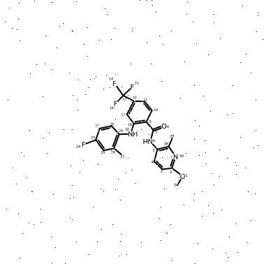 COc1ccc(NC(=O)c2ccc(C(F)(F)F)cc2Nc2ccc(F)cc2C)c(C)n1